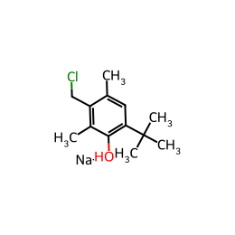 Cc1cc(C(C)(C)C)c(O)c(C)c1CCl.[Na]